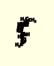 CC(C)c1cnnc(Nc2ccc3ncc(/C(C=N)=C/NCC4CN(C)CCO4)cc3n2)c1